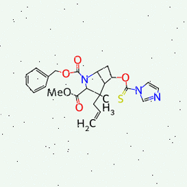 C=CCC1(C)C2C(OC(=S)n3ccnc3)CC2N(C(=O)OCc2ccccc2)C1C(=O)OC